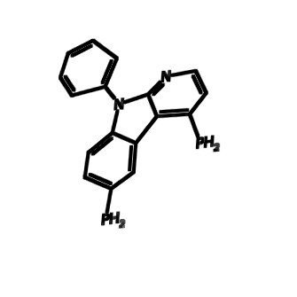 Pc1ccc2c(c1)c1c(P)ccnc1n2-c1ccccc1